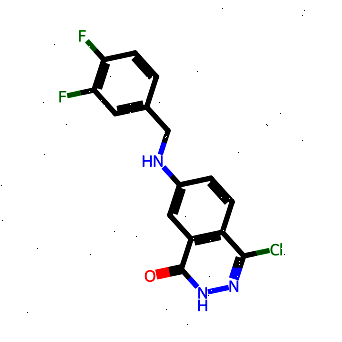 O=c1[nH]nc(Cl)c2ccc(NCc3ccc(F)c(F)c3)cc12